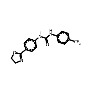 O=C(Nc1ccc(C2=NCCO2)cc1)Nc1ccc(C(F)(F)F)cc1